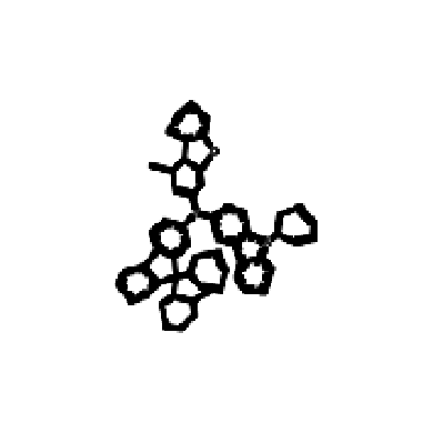 CC1C=C(N(c2ccc3c(c2)C(C2C=CC=CC2)(C2CCCCC2C)c2ccccc2-3)c2ccc3c(c2)c2ccccc2n3C2C=CC=CC2)C=C2Oc3ccccc3C21